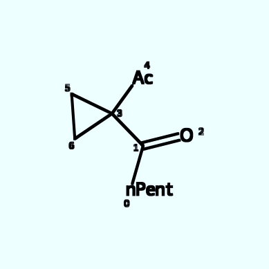 CCCCCC(=O)C1(C(C)=O)CC1